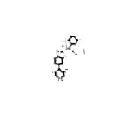 OC[C@@H](Nc1nc2ccc(-c3ccncc3F)cc2s1)c1ccccc1